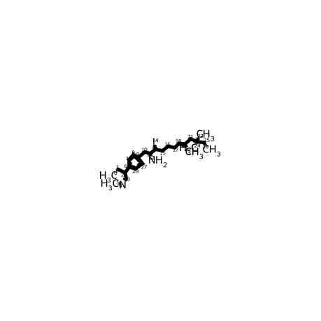 CCC(/C=N\C)c1ccc(CC(N)C(I)CCC/C=C(\C)CC(C)(C)CC)cc1